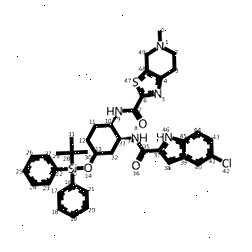 CN1CCc2nc(C(=O)N[C@@H]3CCC(O[Si](c4ccccc4)(c4ccccc4)C(C)(C)C)C[C@@H]3NC(=O)c3cc4cc(Cl)ccc4[nH]3)sc2C1